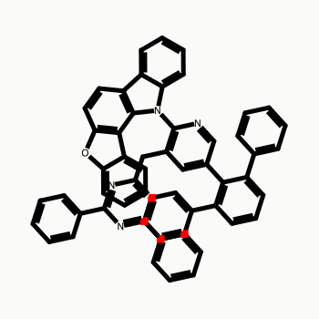 c1ccc(-c2nc(Cc3cc(-c4c(-c5ccccc5)cccc4-c4ccccc4)cnc3-n3c4ccccc4c4ccc5oc6ccccc6c5c43)nc(-c3ccccc3)n2)cc1